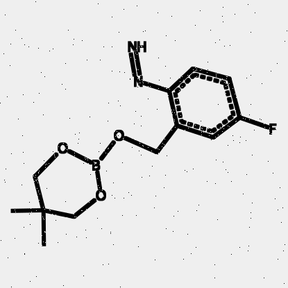 CC1(C)COB(OCc2cc(F)ccc2N=N)OC1